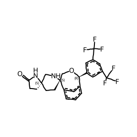 O=C1CC[C@]2(CC[C@]3(CO[C@@H](c4cc(C(F)(F)F)cc(C(F)(F)F)c4)c4cccc3c4)NC2)N1